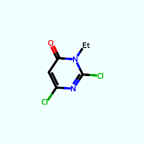 CCn1c(Cl)nc(Cl)cc1=O